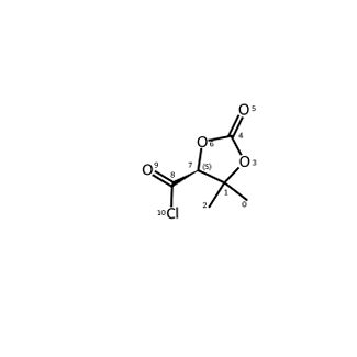 CC1(C)OC(=O)O[C@@H]1C(=O)Cl